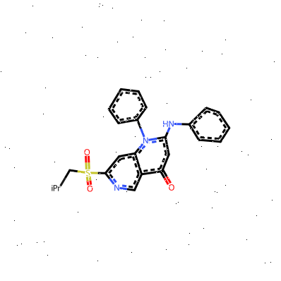 CC(C)CS(=O)(=O)c1cc2c(cn1)c(=O)cc(Nc1ccccc1)n2-c1ccccc1